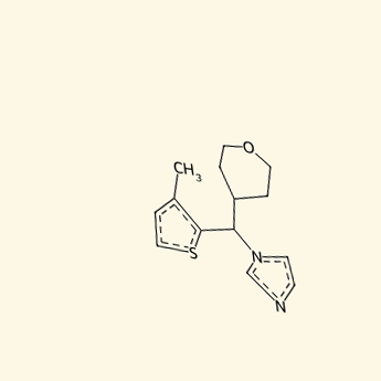 Cc1ccsc1C(C1CCOCC1)n1ccnc1